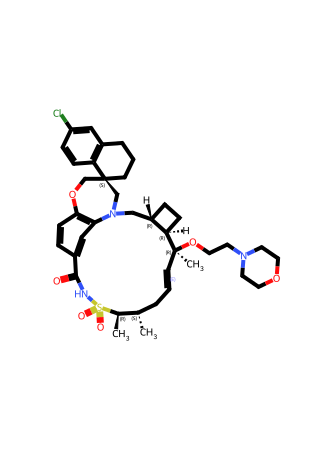 C[C@@H]1[C@@H](C)C/C=C/[C@](C)(OCCN2CCOCC2)[C@@H]2CC[C@H]2CN2C[C@@]3(CCCc4cc(Cl)ccc43)COc3ccc(cc32)C(=O)NS1(=O)=O